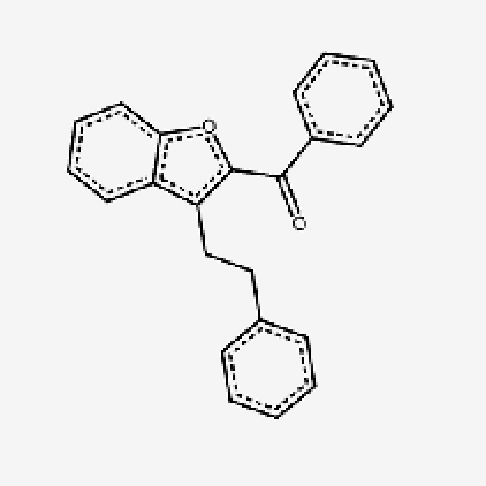 O=C(c1ccccc1)c1oc2ccccc2c1CCc1ccccc1